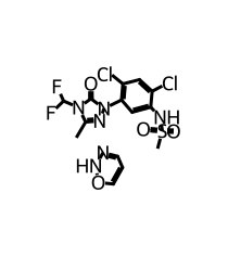 C1=CONN=C1.Cc1nn(-c2cc(NS(C)(=O)=O)c(Cl)cc2Cl)c(=O)n1C(F)F